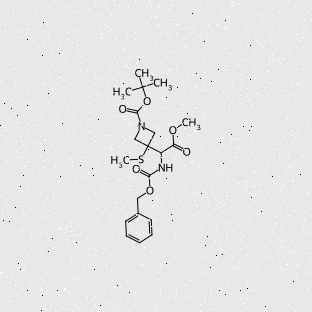 COC(=O)C(NC(=O)OCc1ccccc1)C1(SC)CN(C(=O)OC(C)(C)C)C1